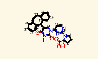 O=C(O)[C@@H]1CCCN1c1nccc(-n2cc(C3c4ccccc4C=Cc4ccccc43)c(=O)[nH]c2=O)n1